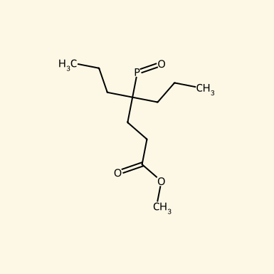 CCCC(CCC)(CCC(=O)OC)P=O